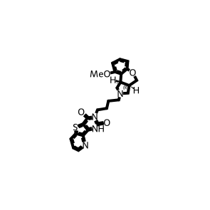 COc1cccc2c1[C@H]1CN(CCCCn3c(=O)[nH]c4c(sc5cccnc54)c3=O)C[C@@H]1CO2